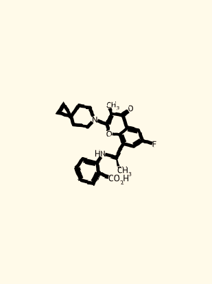 Cc1c(N2CCC3(CC2)CC3)oc2c([C@@H](C)Nc3ccccc3C(=O)O)cc(F)cc2c1=O